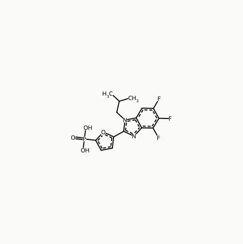 CC(C)Cn1c(-c2ccc(P(=O)(O)O)o2)nc2c(F)c(F)c(F)cc21